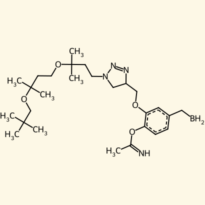 BCc1ccc(OC(C)=N)c(OCC2CN(CCC(C)(C)OCCC(C)(C)OCC(C)(C)C)N=N2)c1